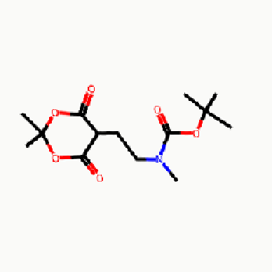 CN(CCC1C(=O)OC(C)(C)OC1=O)C(=O)OC(C)(C)C